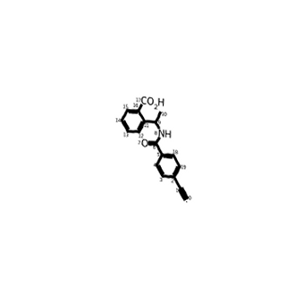 [C]#Cc1ccc(C(=O)NC(C)c2ccccc2C(=O)O)cc1